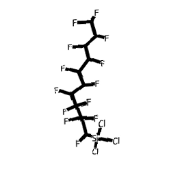 FC(F)C(F)C(F)C(F)C(F)C(F)C(F)C(F)(F)C(F)(F)C(F)[Si](Cl)(Cl)Cl